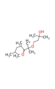 CC(C)CC(C)C(=O)C(C)(C)OCCC(C)(C)O